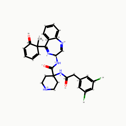 CC1(C2=N[C@H](NC(=O)C3(NC(=O)Cc4cc(F)cc(F)c4)CCNCC3)C=Nc3ccccc32)C=CC=CC1=O